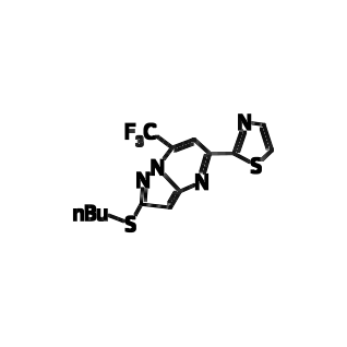 CCCCSc1cc2nc(-c3nccs3)cc(C(F)(F)F)n2n1